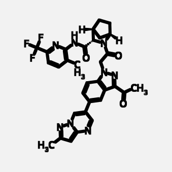 CC(=O)c1nn(CC(=O)N2[C@H]3CC[C@H](C3)[C@H]2C(=O)Nc2nc(C(F)(F)F)ccc2C)c2ccc(-c3cnc4cc(C)nn4c3)cc12